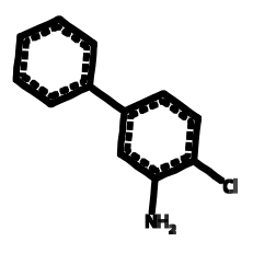 Nc1cc(-c2ccccc2)ccc1Cl